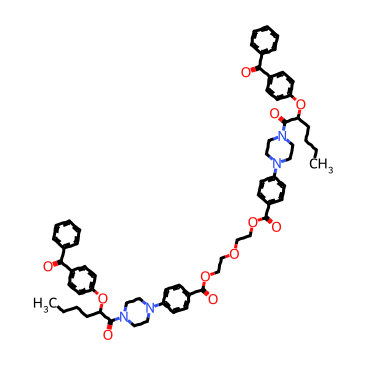 CCCCC(Oc1ccc(C(=O)c2ccccc2)cc1)C(=O)N1CCN(c2ccc(C(=O)OCCOCCOC(=O)c3ccc(N4CCN(C(=O)C(CCCC)Oc5ccc(C(=O)c6ccccc6)cc5)CC4)cc3)cc2)CC1